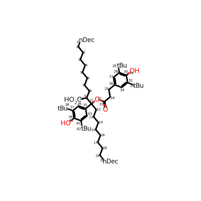 CCCCCCCCCCCCCCCCCCC(C(=O)O)C(CCCCCCCCCCCCCCCCCC)(OC(=O)CCc1cc(C(C)(C)C)c(O)c(C(C)(C)C)c1)c1cc(C(C)(C)C)c(O)c(C(C)(C)C)c1